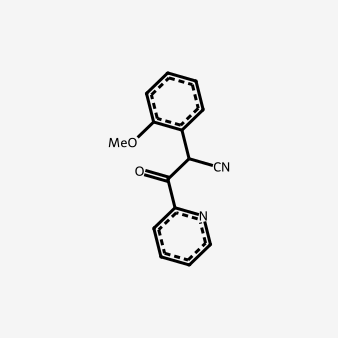 COc1ccccc1C(C#N)C(=O)c1ccccn1